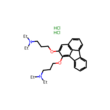 CCN(CC)CCCOc1cc2cccc3c2c(c1OCCCN(CC)CC)-c1ccccc1-3.Cl.Cl